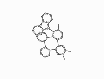 Cc1cc2c(cc1C)-c1ccc(C)c(-n3c4ccccc4c4ccccc43)c1-c1ccccc1-c1ccccc1-2